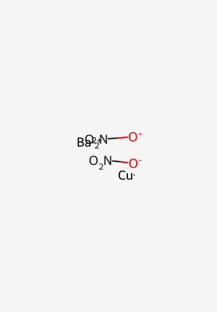 O=[N+]([O-])[O-].O=[N+]([O-])[O-].[Ba+2].[Cu]